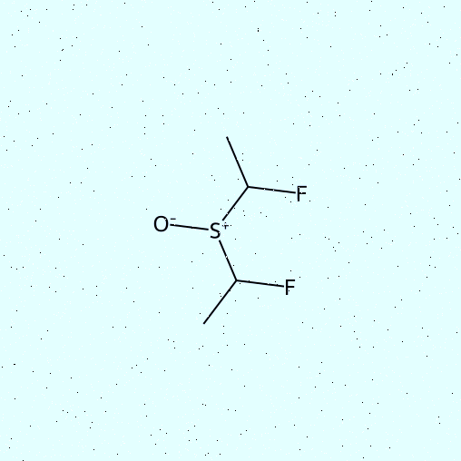 CC(F)[S+]([O-])C(C)F